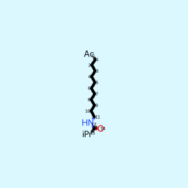 CC(=O)CCCCCCCCCCCNC(=O)C(C)C